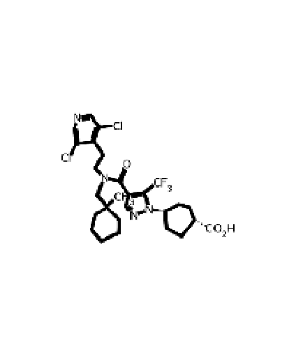 CC1(CN(CCc2c(Cl)cncc2Cl)C(=O)c2cnn([C@H]3CC[C@H](C(=O)O)CC3)c2C(F)(F)F)CCCCC1